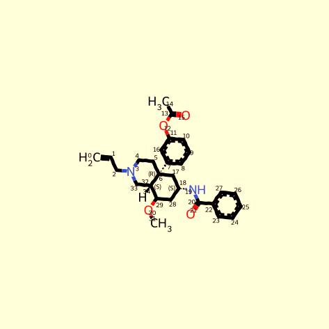 C=CCN1CC[C@@]2(c3cccc(OC(C)=O)c3)C[C@H](NC(=O)c3ccccc3)CC(OC)[C@@H]2C1